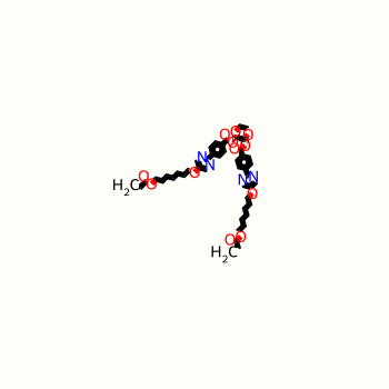 C=CC(=O)OCCCCCCCOc1cnc(-c2ccc(C(=O)O[C@H]3OCCO[C@@H]3OC(=O)c3ccc(-c4ncc(OCCCCCCCOC(=O)C=C)cn4)cc3)cc2)nc1